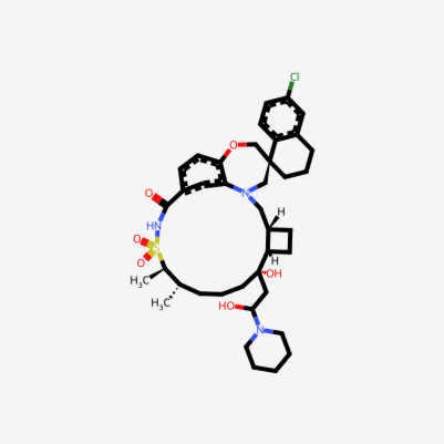 C[C@@H]1[C@@H](C)CCC[C@](O)(CC(O)N2CCCCC2)[C@@H]2CC[C@H]2CN2C[C@@]3(CCCc4cc(Cl)ccc43)COc3ccc(cc32)C(=O)NS1(=O)=O